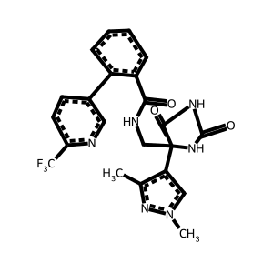 Cc1nn(C)cc1C1(CNC(=O)c2ccccc2-c2ccc(C(F)(F)F)nc2)NC(=O)NC1=O